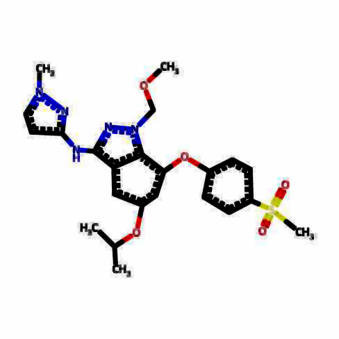 COCn1nc(Nc2ccn(C)n2)c2cc(OC(C)C)cc(Oc3ccc(S(C)(=O)=O)cc3)c21